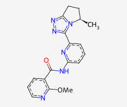 COc1ncccc1C(=O)Nc1cccc(-c2nnc3n2[C@H](C)CC3)n1